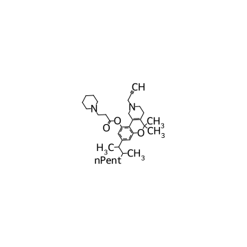 C#CCN1CCC2=C(C1)c1c(OC(=O)CCN3CCCCC3)cc(C(C)C(C)CCCCC)cc1OC2(C)C